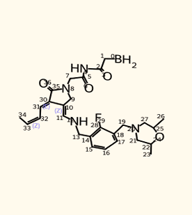 BCC(=O)NC(=O)CN1CC(=C\NCc2cccc(CN3CC(C)OC(C)C3)c2F)/C(=C\C=C/C)C1=O